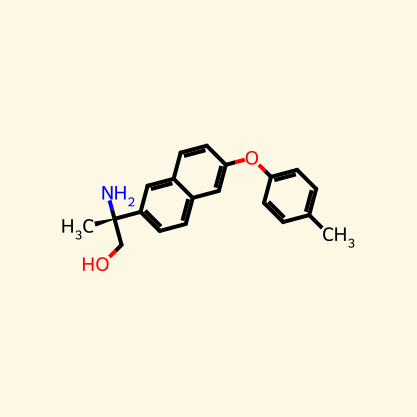 Cc1ccc(Oc2ccc3cc([C@@](C)(N)CO)ccc3c2)cc1